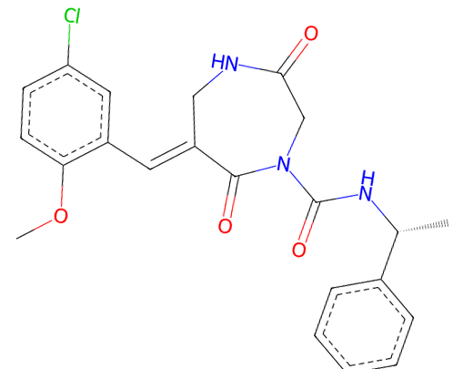 COc1ccc(Cl)cc1C=C1CNC(=O)CN(C(=O)N[C@H](C)c2ccccc2)C1=O